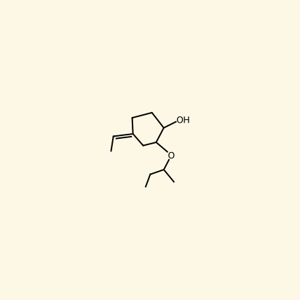 C/C=C1/CCC(O)C(OC(C)CC)C1